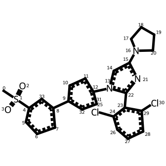 CS(=O)(=O)c1cccc(-c2ccc(-n3cc(N4CCCC4)nc3-c3c(Cl)cccc3Cl)cc2)c1